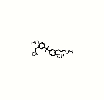 CC(C)(c1ccc(O)c(CCCO)c1)c1ccc(O)c(CC2CO2)c1